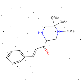 CON1CC(C(=O)C=Cc2ccccc2)NCC1(OC)OC